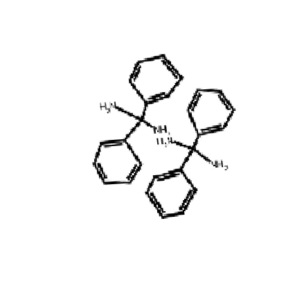 NC(N)(c1ccccc1)c1ccccc1.NC(N)(c1ccccc1)c1ccccc1